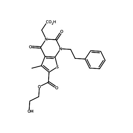 Cc1c(C(=O)OCCO)sc2c1c(=O)n(CC(=O)O)c(=O)n2CCc1ccccc1